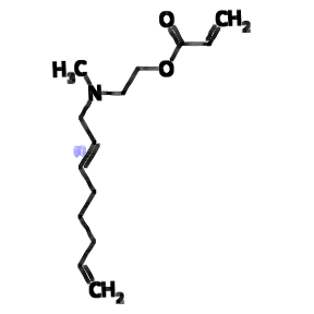 C=CCCC/C=C/CN(C)CCOC(=O)C=C